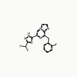 Fc1ccccc1Cc1nc(-c2nc(C(F)F)n[nH]2)cn2ccnc12